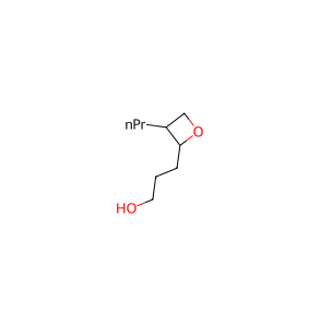 CCCC1COC1CCCO